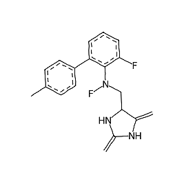 C=C1NC(=C)C(CN(F)c2c(F)cccc2-c2ccc(C)cc2)N1